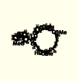 CO[C@H]1C[C@@H]2CC[C@@H](C)C(O)(O2)C(=O)C(=O)N2CCCCC2C(=O)O[C@H]([C@H](C)C[C@@H]2CC[C@@H](OP(=O)(c3ccccc3)c3ccccc3)[C@H](OC)C2)CC(=O)[C@H](C)/C=C(\C)[C@@H](O)[C@@H](OC)C(=O)[C@H](C)C[C@H](C)/C=C/C=C/C=C/1C